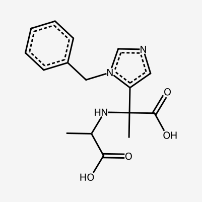 CC(NC(C)(C(=O)O)c1cncn1Cc1ccccc1)C(=O)O